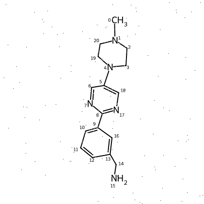 CN1CCN(c2cnc(-c3cccc(CN)c3)nc2)CC1